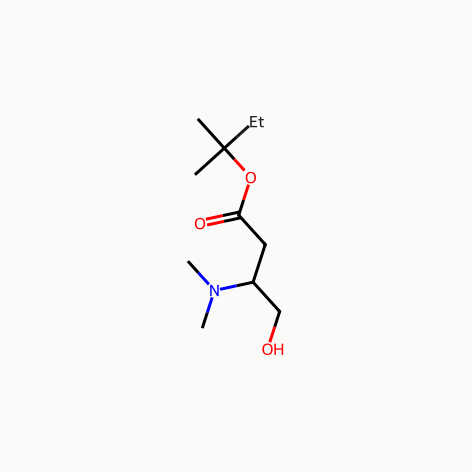 CCC(C)(C)OC(=O)CC(CO)N(C)C